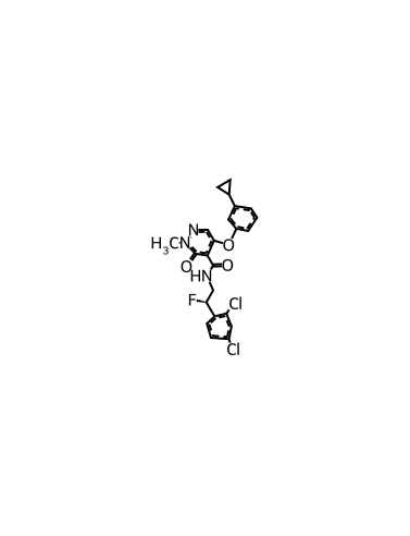 Cn1ncc(Oc2cccc(C3CC3)c2)c(C(=O)NC[C@H](F)c2ccc(Cl)cc2Cl)c1=O